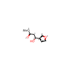 COC(=O)CC(O)c1ccoc1